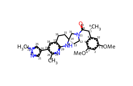 COc1cc(OC)cc([C@@H](C)C(=O)N2CC[C@]3(CCc4cc(-c5cnn(C)c5)c(C)nc4N3)C2)c1